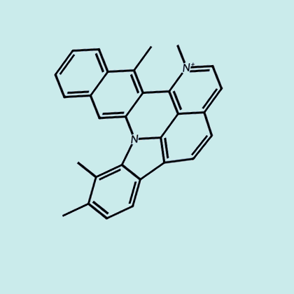 Cc1ccc2c3ccc4cc[n+](C)c5c6c(C)c7ccccc7cc6n(c2c1C)c3c45